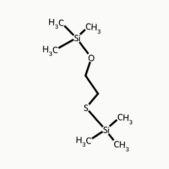 C[Si](C)(C)OCCS[Si](C)(C)C